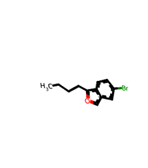 CCCCc1occ2cc(Br)ccc12